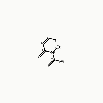 C=C(/C=C\C)N(CC)C(=C)CC